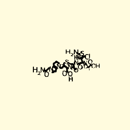 C[C@H](O/N=C(\C(=O)NC1C(=O)N2C(C(=O)O)=C(C[n+]3cccc4c3ccn4CC(N)=O)CSC12)c1nc(N)sc1Cl)C(=O)O